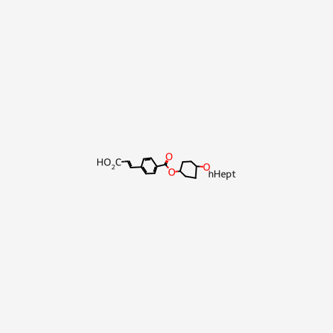 CCCCCCCOC1CCC(OC(=O)c2ccc(C=CC(=O)O)cc2)CC1